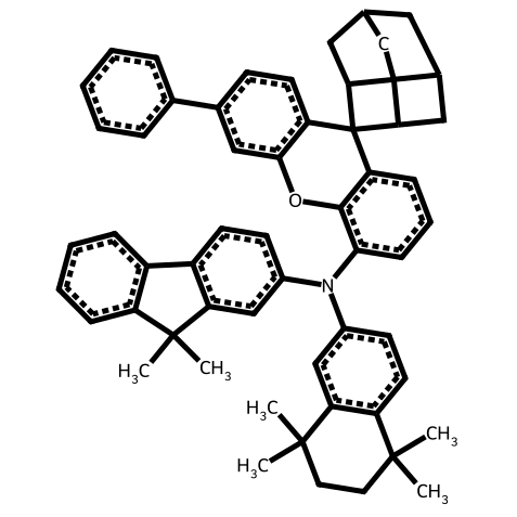 CC1(C)CCC(C)(C)c2cc(N(c3ccc4c(c3)C(C)(C)c3ccccc3-4)c3cccc4c3Oc3cc(-c5ccccc5)ccc3C43C4CC5CC6CC3C64C5)ccc21